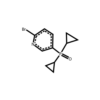 O=P(c1ccc(Br)nc1)(C1CC1)C1CC1